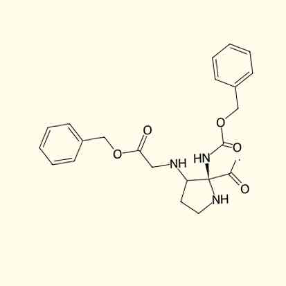 [CH2]C(=O)[C@]1(NC(=O)OCc2ccccc2)NCCC1NCC(=O)OCc1ccccc1